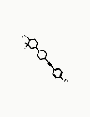 CCCc1ccc(C#CC2CCC(C3CCC(CCC)C(F)(F)C3)CC2)cc1